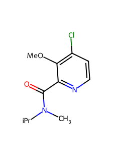 COc1c(Cl)ccnc1C(=O)N(C)C(C)C